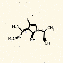 C#CC(C)N1C=C(I)/C(=C(\N)N=C)C1=N